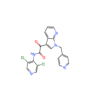 O=C(Nc1c(Cl)cncc1Cl)C(=O)c1cn(Cc2ccncc2)c2ncccc12